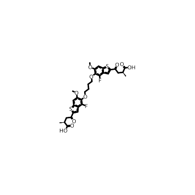 COc1cc2sc(C(=O)C[C@H](C)C(=O)O)cc2c(F)c1OCCCCOc1c(OC)cc2sc(C(=O)C[C@H](C)C(=O)O)cc2c1F